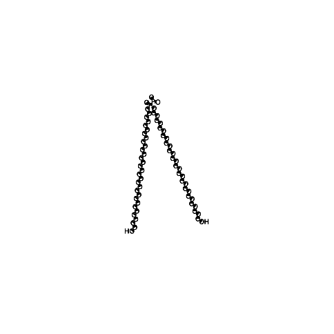 O=P(=O)P(=O)(OOOOOOOOOOOOOOOOOOOOOOOOOOOOOOO)OOOOOOOOOOOOOOOOOOOOOOOOOOOOOOO